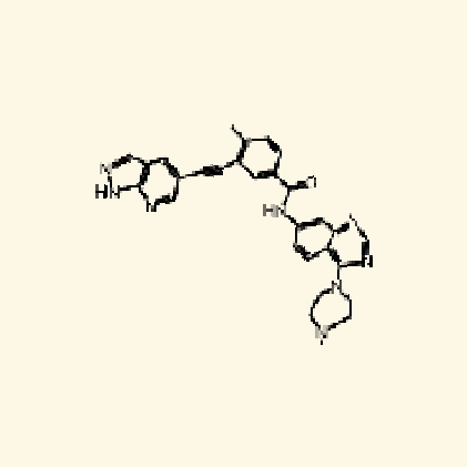 Cc1ccc(C(=O)Nc2ccc3c(N4CCN(C)CC4)ncnc3c2)cc1C#Cc1cnc2[nH]ncc2c1